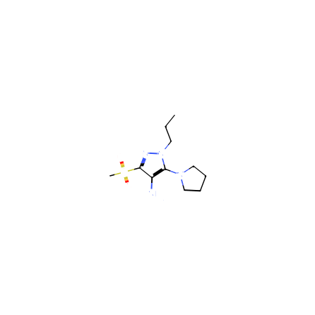 CCCn1nc(S(C)(=O)=O)c(N)c1N1CCCC1